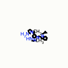 C=C(c1cc(/N=C/c2cc3ccccc3n2CC2CC2)c2c(c1)NCCN2C)N1CCCC(N)C1